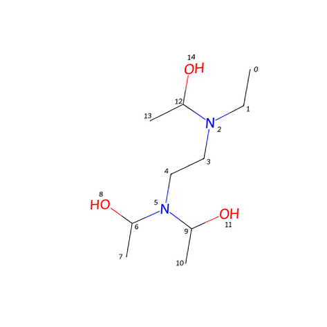 CCN(CCN(C(C)O)C(C)O)C(C)O